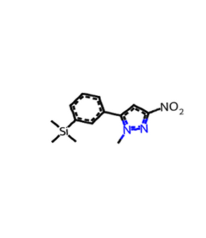 Cn1nc([N+](=O)[O-])cc1-c1cccc([Si](C)(C)C)c1